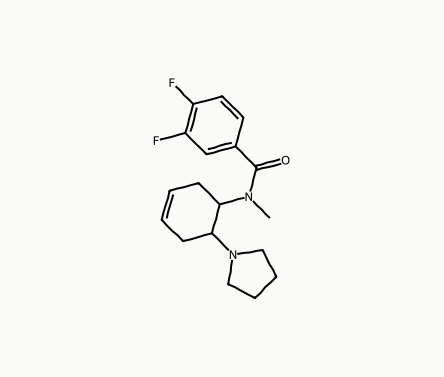 CN(C(=O)c1ccc(F)c(F)c1)C1CC=CCC1N1CCCC1